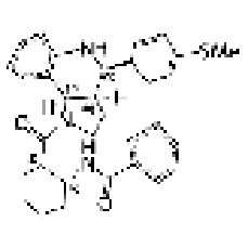 CSC1=CCC([C@@H]2Nc3ccccc3[C@H]3[C@@H]2CCN3C(=O)[C@H]2CCCC[C@H]2NC(=O)c2ccccc2)C=C1